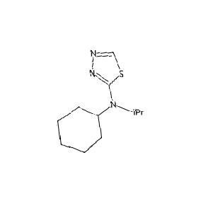 CC(C)N(c1nncs1)C1CCCCC1